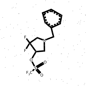 O=S(=O)(OC1CN(Cc2ccccc2)CC1(F)F)C(F)(F)F